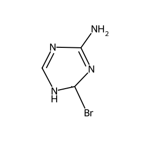 NC1=N[C](Br)NC=N1